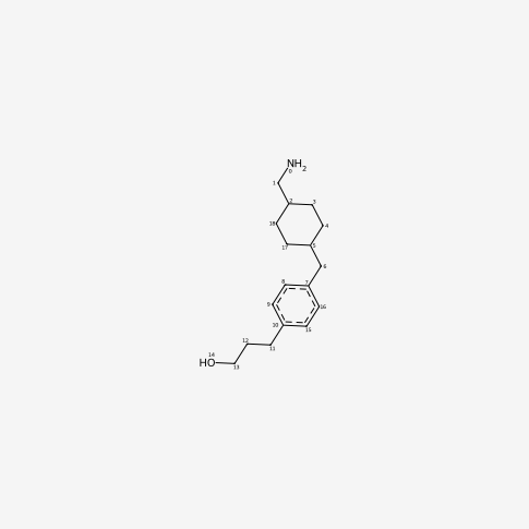 NCC1CCC(Cc2ccc(CCCO)cc2)CC1